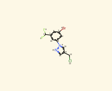 FC(F)c1cc(Br)cc(-n2cc(CCl)cn2)c1